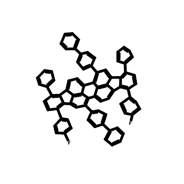 Fc1ccc(-c2ccc(-c3ccccc3)c3c2-c2ccc4c5c(-c6ccc(-c7ccccc7)cc6)cc6c7c(ccc(c8c(-c9ccc(-c%10ccccc%10)cc9)cc-3c2c48)c75)-c2c(-c3ccccc3)ccc(-c3ccc(F)cc3)c2-6)cc1